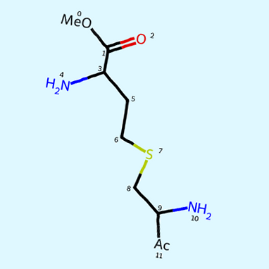 COC(=O)C(N)CCSCC(N)C(C)=O